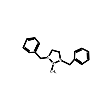 CB1N(Cc2ccccc2)CCN1Cc1ccccc1